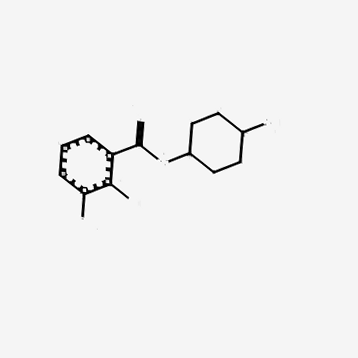 Cc1cccc(C(=O)NC2CCC(N)CC2)c1O.Cl